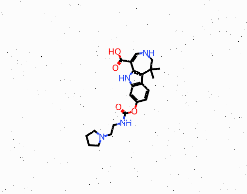 CC1(C)CNC=C(C(=O)O)c2[nH]c3cc(OC(=O)NCCN4CCCC4)ccc3c21